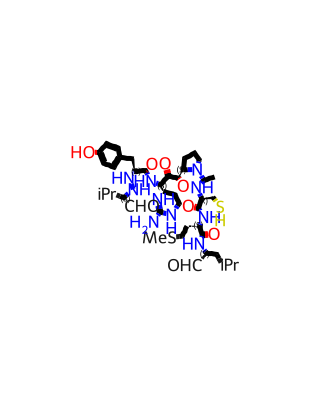 CSCC[C@H](NC(=O)[C@H](CS)NC(C)N1CCC[C@H]1C(=O)C(=O)[C@H](CCCNC(=N)N)NC(=O)[C@H](Cc1ccc(O)cc1)NN[C@H](C=O)C(C)C)C(=O)N[C@H](C=O)CC(C)C